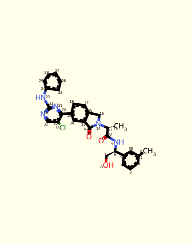 Cc1cccc([C@@H](CO)NC(=O)[C@@H](C)N2Cc3ccc(-c4nc(Nc5ccccc5)ncc4Cl)cc3C2=O)c1